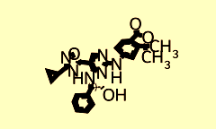 CC1(C)OC(=O)c2ccc(Nc3ncc(-c4nc(C5CC5)no4)c(N[C@H](CO)c4ccccc4)n3)cc21